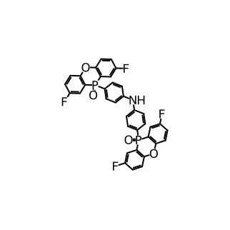 O=P1(c2ccc(Nc3ccc(P4(=O)c5cc(F)ccc5Oc5ccc(F)cc54)cc3)cc2)c2cc(F)ccc2Oc2ccc(F)cc21